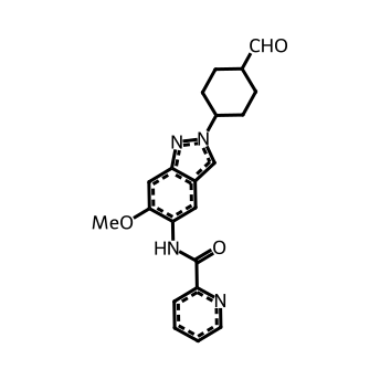 COc1cc2nn(C3CCC(C=O)CC3)cc2cc1NC(=O)c1ccccn1